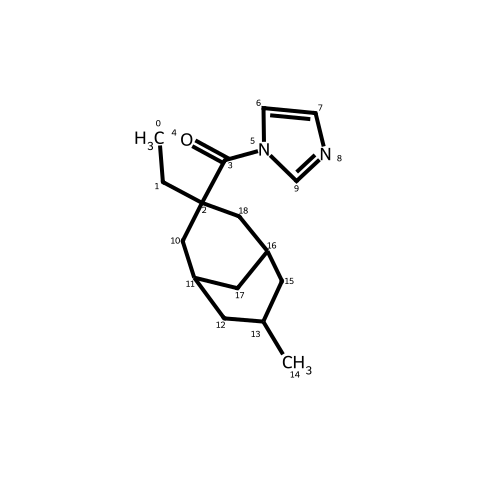 CCC1(C(=O)n2ccnc2)CC2CC(C)CC(C2)C1